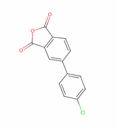 O=C1OC(=O)c2cc(-c3ccc(Cl)cc3)ccc21